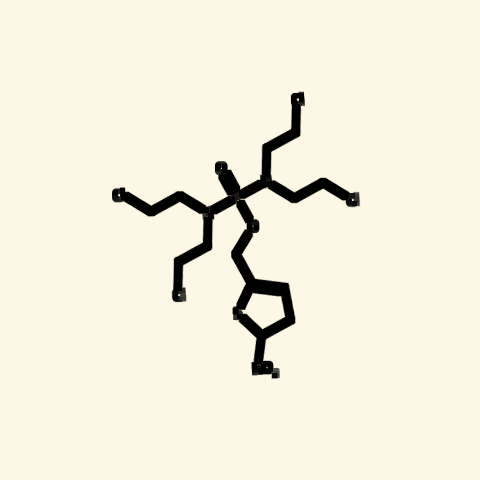 O=[N+]([O-])C1CC=C(COP(=O)(N(CCCl)CCCl)N(CCCl)CCCl)S1